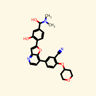 CN(C)C(O)c1ccc(-c2cc3nccc(-c4ccc(OC5CCOCC5)c(C#N)c4)c3o2)c(O)c1